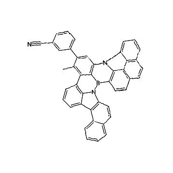 Cc1c(-c2cccc(C#N)c2)cc2c3c1-c1cccc4c5c6ccccc6ccc5n(c14)B3c1ccc3ccc4cccc5c4c3c1n5-2